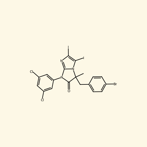 CC1(Cc2ccc(Br)cc2)C(=O)N(c2cc(Cl)cc(Cl)c2)c2nc(I)c(I)n21